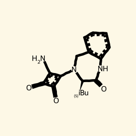 CC[C@H](C)C1C(=O)Nc2ccccc2CN1c1c(N)c(=O)c1=O